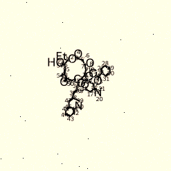 CC[C@H]1OC(=O)[C@H](C)C(=O)[C@H](C)[C@@H](O[C@@H]2O[C@H](C)C[C@H](N(C)C)[C@H]2OC(=O)c2ccccc2)[C@](C)(OC/C=C/c2cnc3ccccc3c2)C[C@@H](C)C(=O)/C(C)=C/[C@]1(C)O